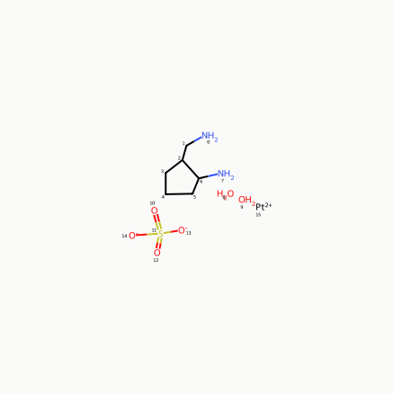 NCC1CCCC1N.O.O.O=S(=O)([O-])[O-].[Pt+2]